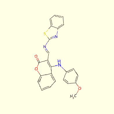 COc1ccc(Nc2c(/C=N/c3nc4ccccc4s3)c(=O)oc3ccccc23)cc1